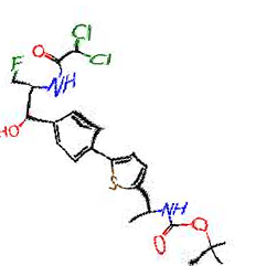 CC(NC(=O)OC(C)(C)C)c1ccc(-c2ccc([C@@H](O)[C@@H](CF)NC(=O)C(Cl)Cl)cc2)s1